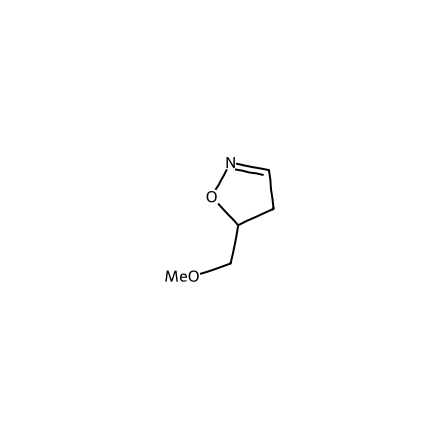 COCC1CC=NO1